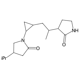 CC(C)C1CC(=O)N(C2CC2CC(C)C2CCNC2=O)C1